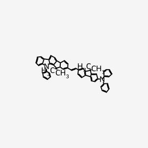 CC1(C)c2cc(/C=C/C3=CC4C(C=C3)c3ccc5c6ccccc6n(-c6ccccc6)c5c3C4(C)C)ccc2-c2ccc(N(c3ccccc3)c3ccccc3)cc21